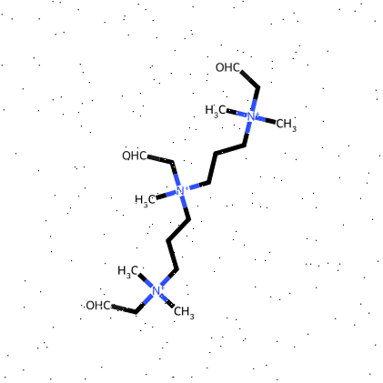 C[N+](C)(CC=O)CCC[N+](C)(CC=O)CCC[N+](C)(C)CC=O